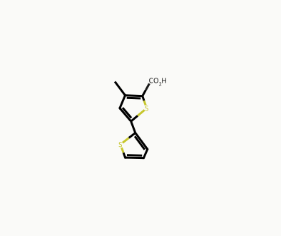 Cc1cc(-c2cccs2)sc1C(=O)O